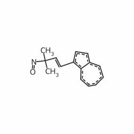 CC(C)(C=Cc1ccc2cccccc1-2)N=O